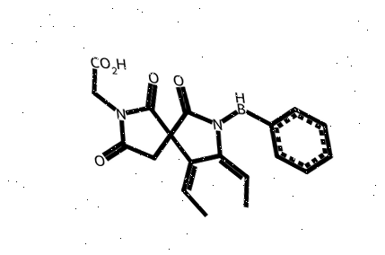 C/C=C1\C(=C/C)N(Bc2ccccc2)C(=O)C12CC(=O)N(CC(=O)O)C2=O